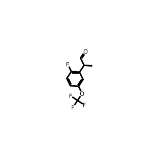 CC(C=O)c1cc(OC(F)(F)F)ccc1F